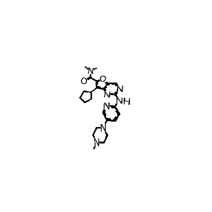 CN1CCN(c2ccc(Nc3ncc4oc(C(=O)N(C)C)c(C5CCCC5)c4n3)nc2)CC1